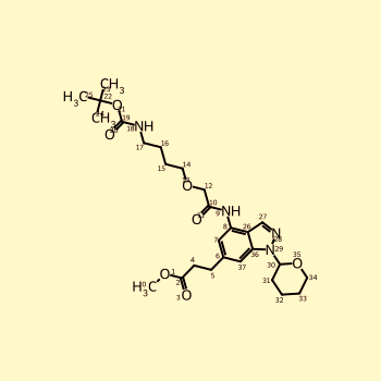 COC(=O)CCc1cc(NC(=O)COCCCCNC(=O)OC(C)(C)C)c2cnn(C3CCCCO3)c2c1